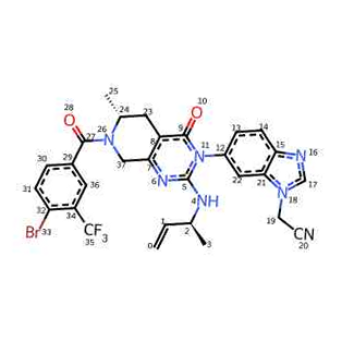 C=C[C@H](C)Nc1nc2c(c(=O)n1-c1ccc3ncn(CC#N)c3c1)C[C@@H](C)N(C(=O)c1ccc(Br)c(C(F)(F)F)c1)C2